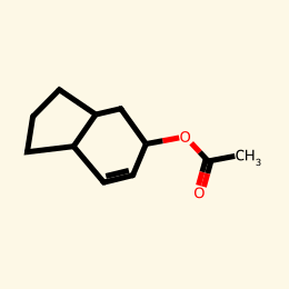 CC(=O)OC1C=CC2CCCC2C1